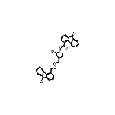 C=CC(COOCc1cccc2c1-c1ccccc1C2=O)CC(CC)COC(=O)c1cccc2c1-c1ccccc1C2=O